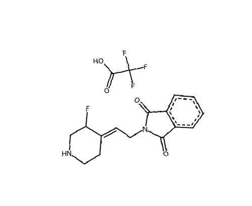 O=C(O)C(F)(F)F.O=C1c2ccccc2C(=O)N1C/C=C1\CCNCC1F